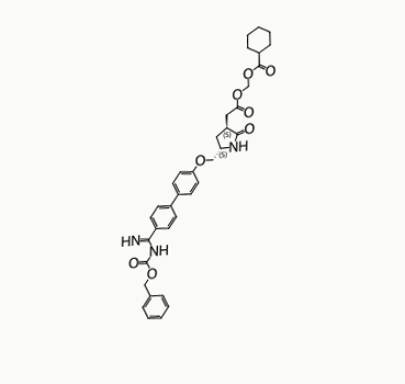 N=C(NC(=O)OCc1ccccc1)c1ccc(-c2ccc(OC[C@@H]3C[C@@H](CC(=O)OCOC(=O)C4CCCCC4)C(=O)N3)cc2)cc1